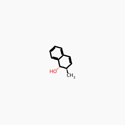 C[C@@H]1C=Cc2ccccc2[C@H]1O